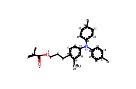 C=C(C)C(=O)OCCCc1ccc(N(c2ccc(C)cc2)c2ccc(C)cc2)cc1CCCC